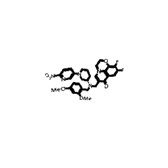 COc1ccc(CN(Cc2cn3c4c(c(F)c(F)cc4c2=O)OCC3)[C@H]2CCCN(c3ccc([N+](=O)[O-])nc3)C2)c(OC)c1